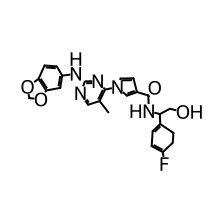 Cc1cnc(Nc2ccc3c(c2)OCO3)nc1-n1ccc(C(=O)NC(CO)C2=CC=C(F)CC2)c1